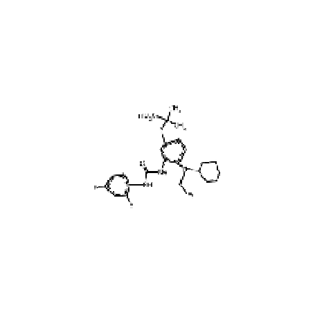 CC(C)CN(c1ccc(SC(C)(C)C(=O)O)cc1NC(=O)Nc1ccc(F)cc1F)C1CCCCC1